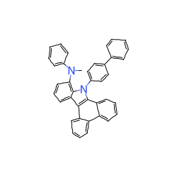 CN(c1ccccc1)c1cccc2c3c4ccccc4c4ccccc4c3n(-c3ccc(-c4ccccc4)cc3)c12